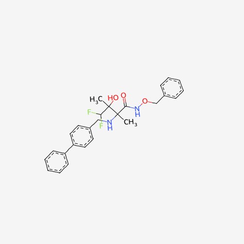 CC(NCc1ccc(-c2ccccc2)cc1)(C(=O)NOCc1ccccc1)C(C)(O)C(F)F